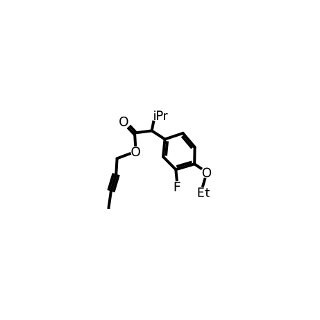 CC#CCOC(=O)C(c1ccc(OCC)c(F)c1)C(C)C